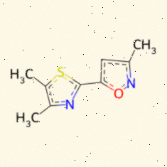 Cc1cc(-c2nc(C)c(C)s2)on1